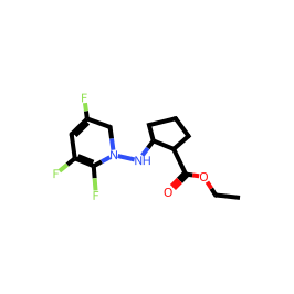 CCOC(=O)C1CCCC1NN1CC(F)=CC(F)=C1F